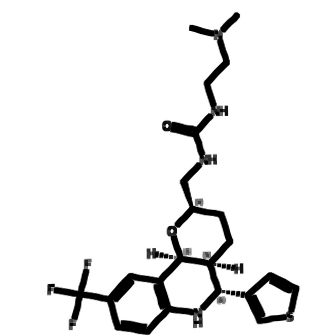 CN(C)CCNC(=O)NC[C@H]1CC[C@@H]2[C@H](O1)c1cc(C(F)(F)F)ccc1N[C@H]2c1ccsc1